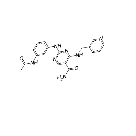 CC(=O)Nc1cccc(Nc2ncc(C(N)=O)c(NCc3cccnc3)n2)c1